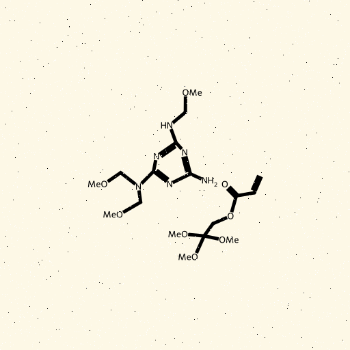 C=CC(=O)OCC(OC)(OC)OC.COCNc1nc(N)nc(N(COC)COC)n1